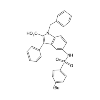 CC(C)(C)c1ccc(S(=O)(=O)Nc2ccc3c(c2)c(-c2ccccc2)c(C(=O)O)n3Cc2ccccc2)cc1